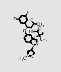 CC(C)[C@H](NC(=O)C(C)(F)F)[C@H](Oc1ccc2c(cnn2-c2cnn(C)c2)c1)c1cc(F)cc(F)c1